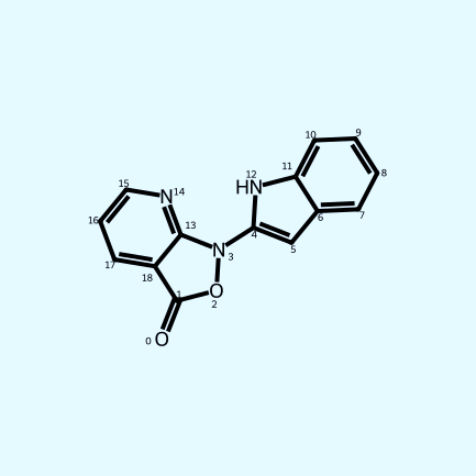 O=c1on(-c2cc3ccccc3[nH]2)c2ncccc12